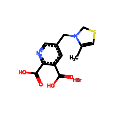 Br.CC1=CSCN1Cc1cnc(C(=O)O)c(C(=O)O)c1